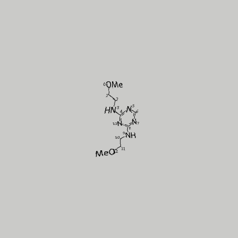 COCCNc1ncnc(NCCOC)n1